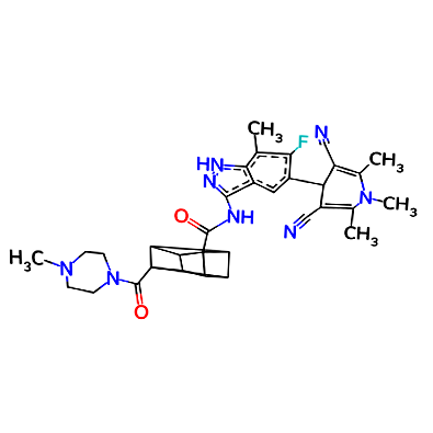 CC1=C(C#N)C(c2cc3c(NC(=O)C45C6C7C4C4C5C6C74C(=O)N4CCN(C)CC4)n[nH]c3c(C)c2F)C(C#N)=C(C)N1C